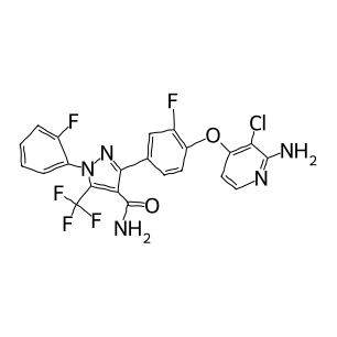 NC(=O)c1c(-c2ccc(Oc3ccnc(N)c3Cl)c(F)c2)nn(-c2ccccc2F)c1C(F)(F)F